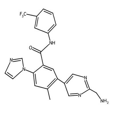 Cc1cc(-n2ccnc2)c(C(=O)Nc2cccc(C(F)(F)F)c2)cc1-c1cnc(CN)nc1